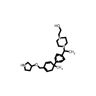 CC(c1ccc(C2(C)C=CC(COC3CCNC3)=CC2)cc1)N1CCN(CCO)CC1